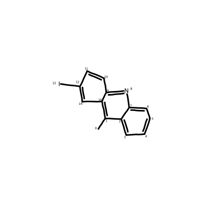 Cc1c2ccccc2nc2ccc(I)cc12